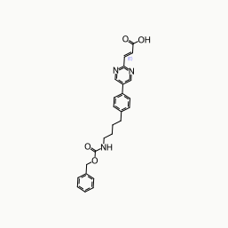 O=C(O)/C=C/c1ncc(-c2ccc(CCCCNC(=O)OCc3ccccc3)cc2)cn1